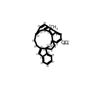 CC1=C2C3=CC=C[C]24CC[C]2([Zr+2]4)C(=Cc4ccccc42)CCc2ccc3c1c2.[Cl-].[Cl-]